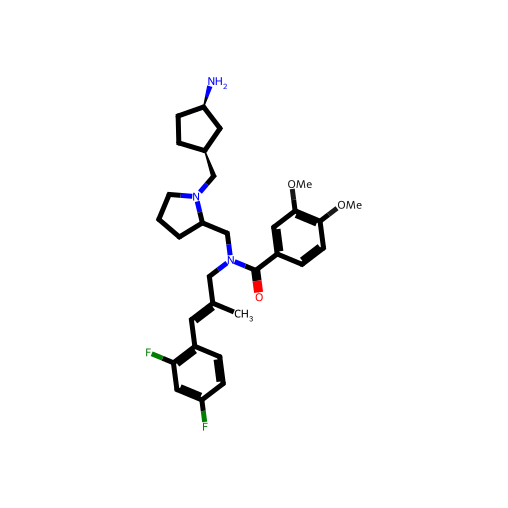 COc1ccc(C(=O)N(C/C(C)=C/c2ccc(F)cc2F)CC2CCCN2C[C@H]2CC[C@@H](N)C2)cc1OC